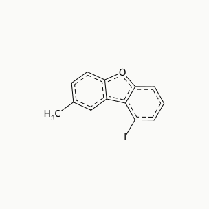 Cc1ccc2oc3cccc(I)c3c2c1